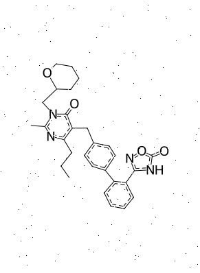 CCCc1nc(C)n(CC2CCCCO2)c(=O)c1Cc1ccc(-c2ccccc2-c2noc(=O)[nH]2)cc1